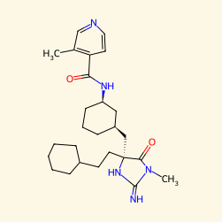 Cc1cnccc1C(=O)N[C@@H]1CCC[C@H](C[C@@]2(CCC3CCCCC3)NC(=N)N(C)C2=O)C1